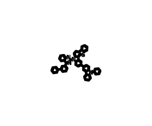 c1ccc(-c2cccc(-c3nc(-n4c5ccc(-c6ccc7c(c6)c6ccccc6n7-c6ccccc6)cc5c5c6sc7ccccc7c6ccc54)nc4ccccc34)c2)cc1